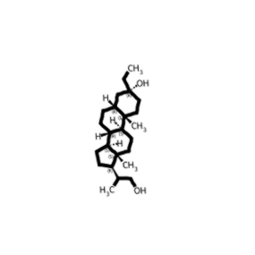 CC[C@@]1(O)CC[C@@]2(C)[C@H](CC[C@@H]3[C@@H]2CC[C@]2(C)[C@@H](C(C)CO)CC[C@@H]32)C1